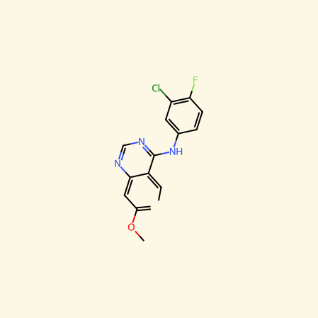 C=C(/C=c1/ncnc(Nc2ccc(F)c(Cl)c2)/c1=C/C)OC